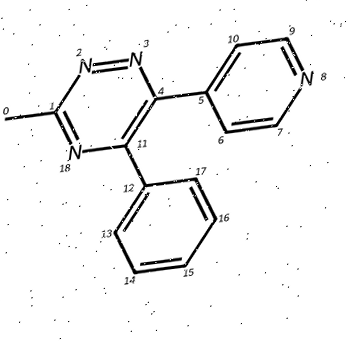 Cc1nnc(-c2ccncc2)c(-c2ccccc2)n1